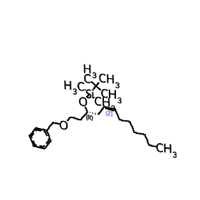 CCCCCC/C=C\C[C@H](CCOCc1ccccc1)O[Si](C)(C)C(C)(C)C